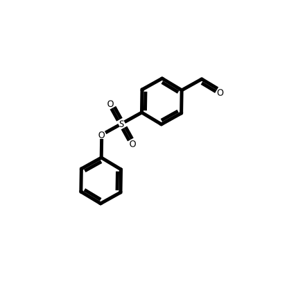 O=Cc1ccc(S(=O)(=O)Oc2ccccc2)cc1